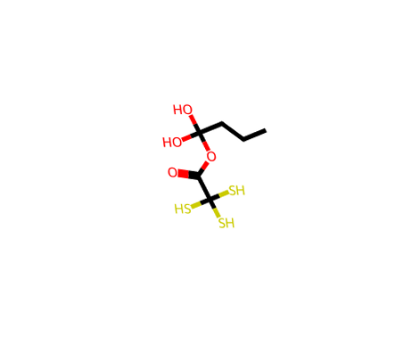 CCCC(O)(O)OC(=O)C(S)(S)S